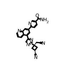 N#CC[C@]1(n2ncc(-c3cc(-c4ccc(C(N)=O)cn4)cc4ncccc34)n2)C[C@H](C#N)C1